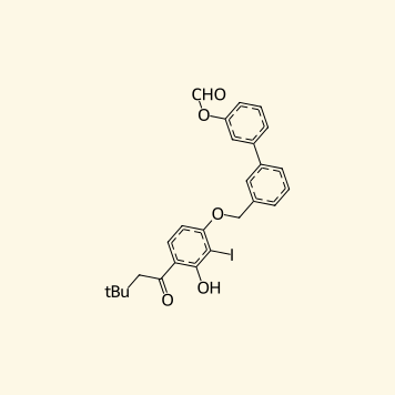 CC(C)(C)CC(=O)c1ccc(OCc2cccc(-c3cccc(OC=O)c3)c2)c(I)c1O